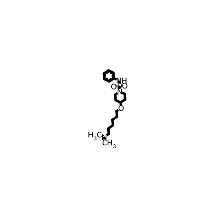 CN(C)CCCCCCOC1CCN(S(=O)(=O)Nc2ccccc2)CC1